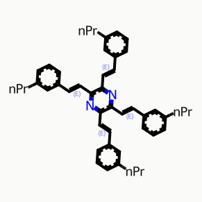 CCCc1cccc(/C=C/c2nc(/C=C/c3cccc(CCC)c3)c(/C=C/c3cccc(CCC)c3)nc2/C=C/c2cccc(CCC)c2)c1